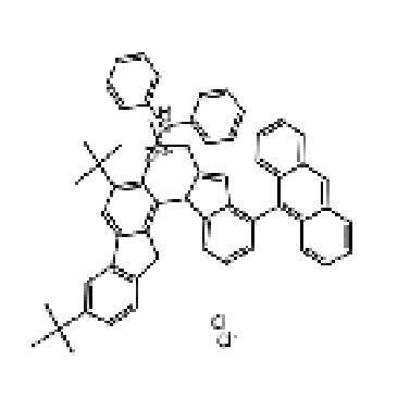 CCCC1=Cc2c(-c3c4ccccc4cc4ccccc34)cccc2C1c1c2c(cc(C(C)(C)C)[c]1[Zr+2][SiH](c1ccccc1)c1ccccc1)-c1cc(C(C)(C)C)ccc1C2.[Cl-].[Cl-]